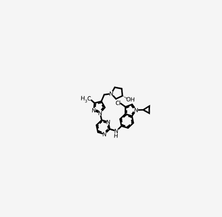 Cc1nn(-c2ccnc(Nc3ccc4c(c3)c(Cl)cn4C3CC3)n2)cc1CN1CC[C@H](O)C1